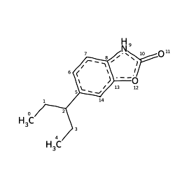 CCC(CC)c1ccc2[nH]c(=O)oc2c1